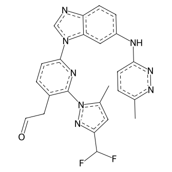 Cc1ccc(Nc2ccc3ncn(-c4ccc(CC=O)c(-n5nc(C(F)F)cc5C)n4)c3c2)nn1